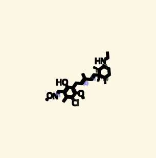 CCN[C@@H]1CC[C@@H](C)[C@](C)(/C=C/C(C)=C/Cc2c(O)c(/C=N/OC)c(C)c(Cl)c2OC)[C@H]1C